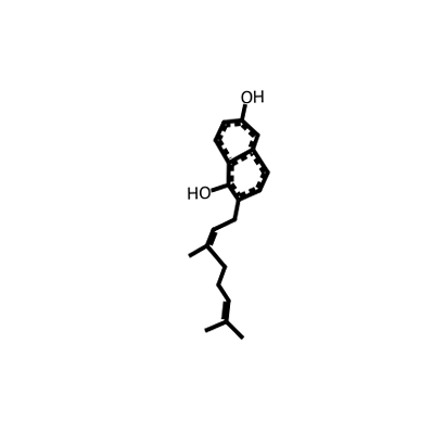 CC(C)=CCCC(C)=CCc1ccc2cc(O)ccc2c1O